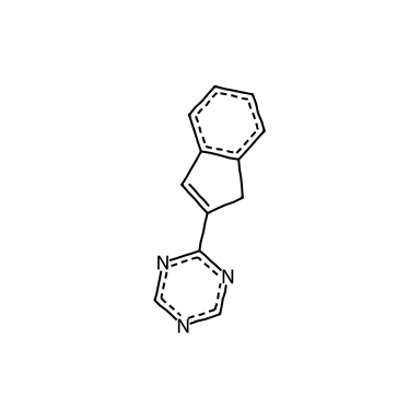 C1=C(c2ncncn2)Cc2ccccc21